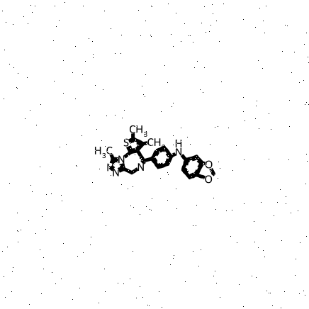 Cc1sc2c(c1C)C(c1ccc(Nc3ccc4c(c3)OCO4)cc1)=NCc1nnc(C)n1-2